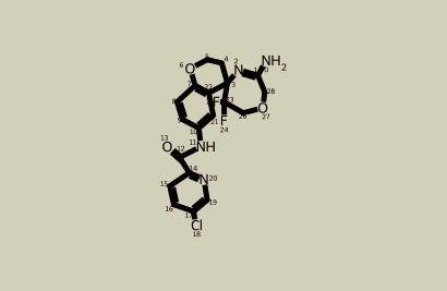 NC1=NC2(CCOc3ccc(NC(=O)c4ccc(Cl)cn4)cc32)C(F)(F)COC1